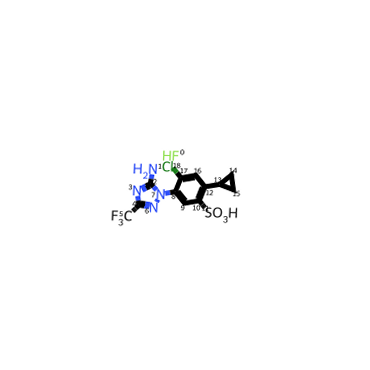 F.Nc1nc(C(F)(F)F)nn1-c1cc(S(=O)(=O)O)c(C2CC2)cc1Cl